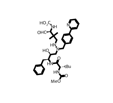 COC(=O)N[C@H](C(=O)N[C@@H](Cc1ccccc1)[C@@H](O)CN(Cc1ccc(-c2ccccn2)cc1)NCC(C)(C)[C@@H](C=O)NC(=O)O)C(C)(C)C